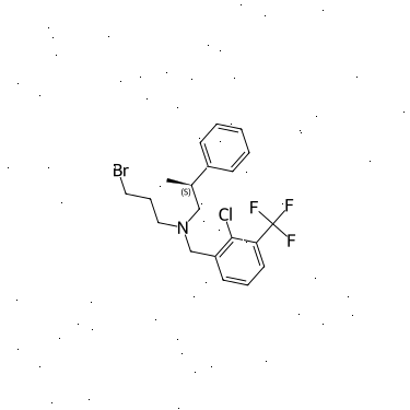 C[C@H](CN(CCCBr)Cc1cccc(C(F)(F)F)c1Cl)c1ccccc1